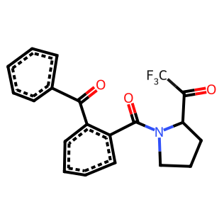 O=C(c1ccccc1)c1ccccc1C(=O)N1CCCC1C(=O)C(F)(F)F